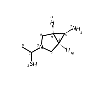 CC(S)N1C[C@@H]2[C@@H](N)[C@@H]2C1